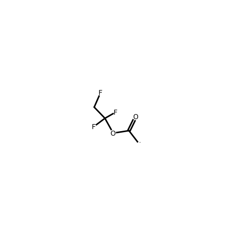 [CH2]C(=O)OC(F)(F)CF